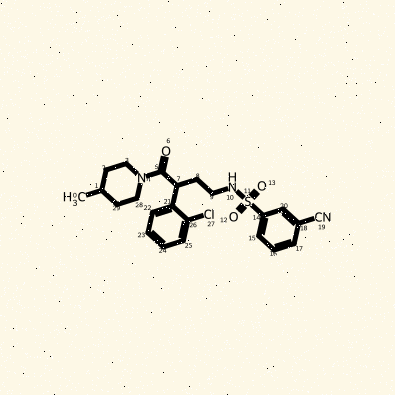 CC1CCN(C(=O)C(CCNS(=O)(=O)c2cccc(C#N)c2)c2ccccc2Cl)CC1